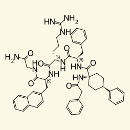 N=C(N)NCCC[C@H](NC(=O)[C@@H](Cc1ccccc1)NC(=O)[C@]1(NC(=O)Cc2ccccc2)CC[C@@H](c2ccccc2)CC1)C(=O)N[C@@H](Cc1ccc2ccccc2c1)C(=O)NCC(N)=O